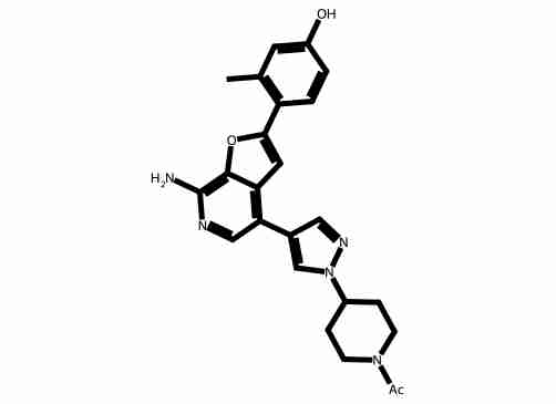 CC(=O)N1CCC(n2cc(-c3cnc(N)c4oc(-c5ccc(O)cc5C)cc34)cn2)CC1